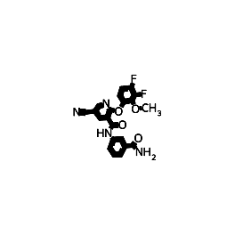 COc1c(Oc2ncc(C#N)cc2C(=O)Nc2cccc(C(N)=O)c2)ccc(F)c1F